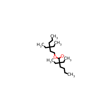 CCCCC(CC)(CC)C([O])OCCC(CC)(CC)CCC